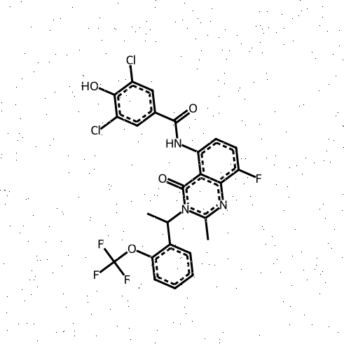 Cc1nc2c(F)ccc(NC(=O)c3cc(Cl)c(O)c(Cl)c3)c2c(=O)n1C(C)c1ccccc1OC(F)(F)F